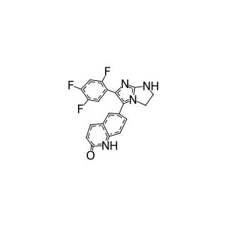 O=c1ccc2cc(-c3c(-c4cc(F)c(F)cc4F)nc4n3CCN4)ccc2[nH]1